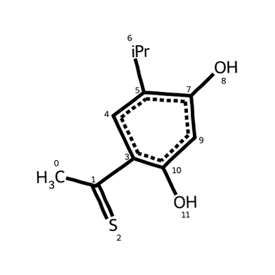 CC(=S)c1cc(C(C)C)c(O)cc1O